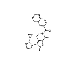 CC1c2nn(C)c(-c3ccnn3C3CC3)c2CCN1C(=O)c1ccc2ncccc2c1